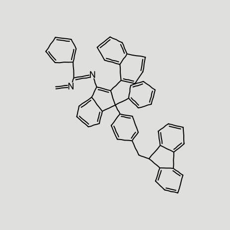 C=N/C(=N\C1=C(c2cccc3ccccc23)C(c2ccccc2)(c2ccc(CC3c4ccccc4-c4ccccc43)cc2)c2ccccc21)c1ccccc1